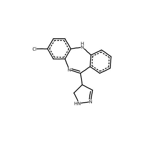 Clc1ccc2c(c1)N=C(C1C=NNC1)c1ccccc1N2